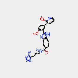 COc1ncccc1-c1ccc(O)c(-c2nc3cc(C(=O)NCCCc4nnn[nH]4)ccc3[nH]2)c1